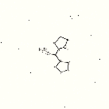 BOC(C1CCCC1)C1CCCO1